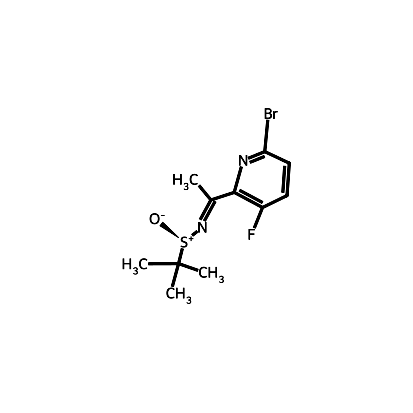 CC(=N[S@+]([O-])C(C)(C)C)c1nc(Br)ccc1F